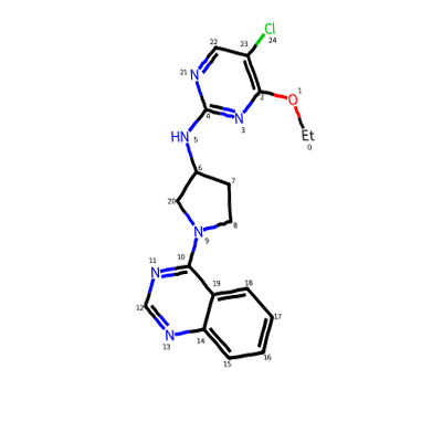 CCOc1nc(NC2CCN(c3ncnc4ccccc34)C2)ncc1Cl